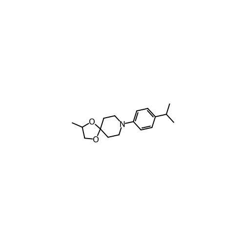 CC1COC2(CCN(c3ccc(C(C)C)cc3)CC2)O1